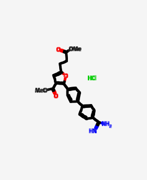 COC(=O)CCc1cc(C(=O)OC)c(-c2ccc(-c3ccc(C(=N)N)cc3)cc2)o1.Cl